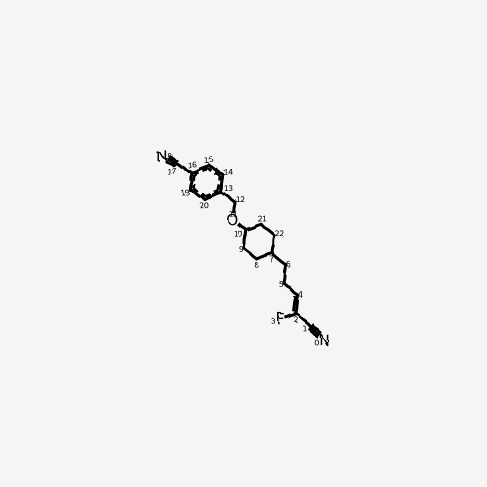 N#CC(F)=CCCC1CCC(OCc2ccc(C#N)cc2)CC1